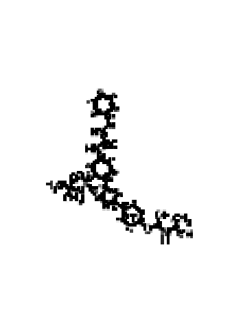 CC(C)NC(O)OC12CCC(c3ncc(-c4ccc(NC(=O)NCc5ccccc5)cc4S(=O)(=O)NC(C)(C)C)s3)(CC1)CC2